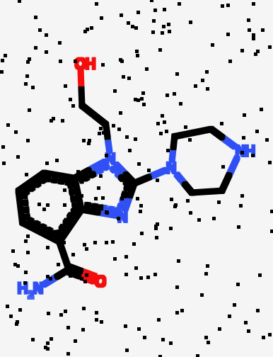 NC(=O)c1cccc2c1nc(N1CCNCC1)n2CCO